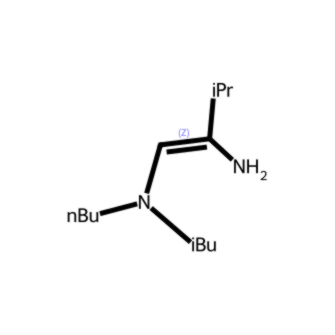 CCCCN(/C=C(\N)C(C)C)C(C)CC